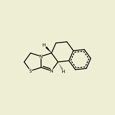 c1ccc2c(c1)CC[C@@H]1[C@@H]2N=C2SCCN21